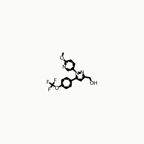 COc1ccc(-n2nc(CO)cc2-c2ccc(OC(F)(F)F)cc2)cn1